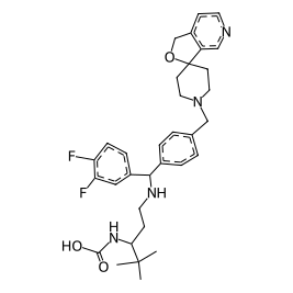 CC(C)(C)C(CCNC(c1ccc(CN2CCC3(CC2)OCc2ccncc23)cc1)c1ccc(F)c(F)c1)NC(=O)O